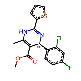 COC(=O)C1=C(C)NC(c2cccs2)=N[C@H]1c1ccc(F)cc1Cl